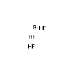 F.F.F.[B]